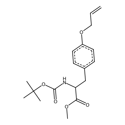 C=CCOc1ccc(CC(NC(=O)OC(C)(C)C)C(=O)OC)cc1